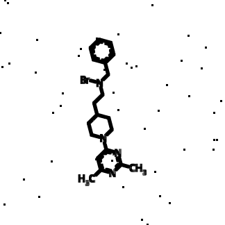 Cc1cc(N2CCC(CCN(Br)Cc3ccccc3)CC2)nc(C)n1